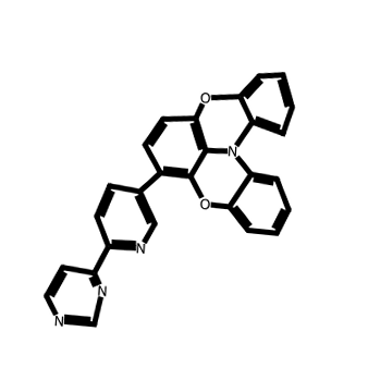 c1ccc2c(c1)Oc1ccc(-c3ccc(-c4ccncn4)nc3)c3c1N2c1ccccc1O3